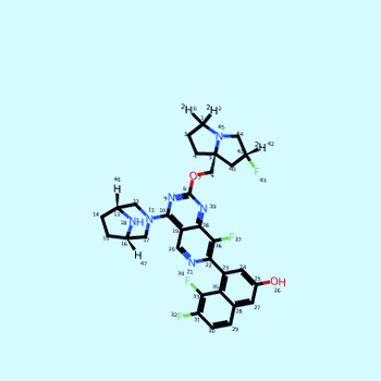 [2H]C1([2H])CC[C@@]2(COc3nc(N4C[C@H]5CC[C@@H](C4)N5)c4cnc(-c5cc(O)cc6ccc(F)c(F)c56)c(F)c4n3)C[C@@]([2H])(F)CN12